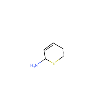 NC1C=CCCS1